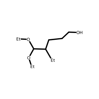 CCOC(OCC)C(CC)CCCO